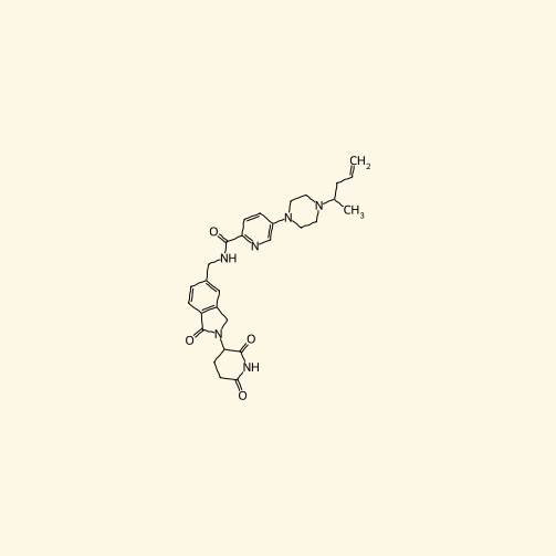 C=CCC(C)N1CCN(c2ccc(C(=O)NCc3ccc4c(c3)CN(C3CCC(=O)NC3=O)C4=O)nc2)CC1